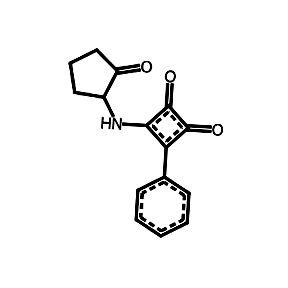 O=C1CCCC1Nc1c(-c2ccccc2)c(=O)c1=O